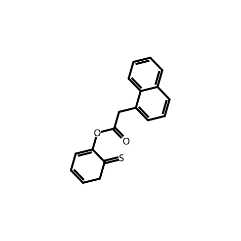 O=C(Cc1cccc2ccccc12)OC1=CC=CCC1=S